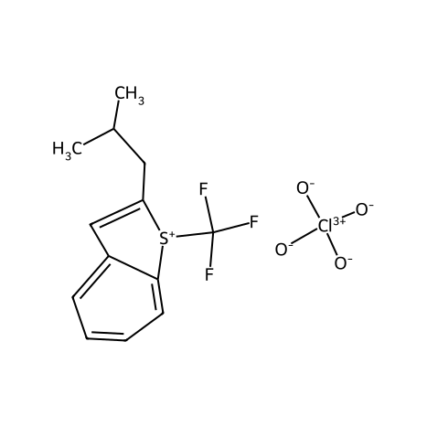 CC(C)Cc1cc2ccccc2[s+]1C(F)(F)F.[O-][Cl+3]([O-])([O-])[O-]